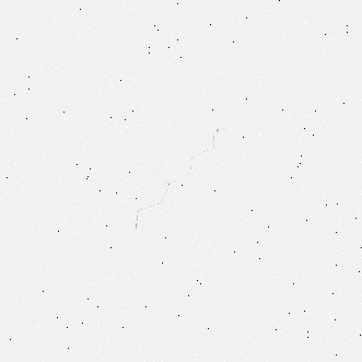 CCCCCCCC(Br)CC[O]